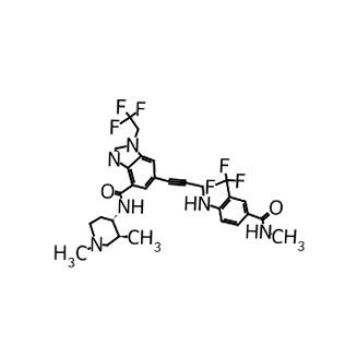 CNC(=O)c1ccc(NCC#Cc2cc(C(=O)N[C@H]3CCN(C)C[C@@H]3C)c3ncn(CC(F)(F)F)c3c2)c(C(F)(F)F)c1